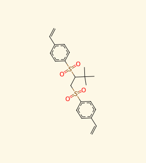 C=Cc1ccc(S(=O)(=O)CC(C(C)(C)C)S(=O)(=O)c2ccc(C=C)cc2)cc1